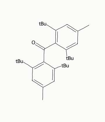 Cc1cc(C(C)(C)C)c(C(=O)c2c(C(C)(C)C)cc(C)cc2C(C)(C)C)c(C(C)(C)C)c1